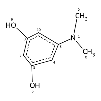 CN(C)c1cc(O)cc(O)c1